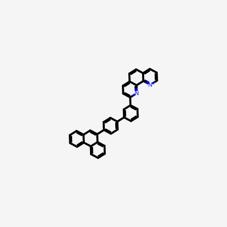 c1cc(-c2ccc(-c3cc4ccccc4c4ccccc34)cc2)cc(-c2ccc3ccc4cccnc4c3n2)c1